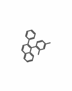 Cc1ccc(-c2c(-c3ccccc3)ccc3ccccc23)c(C)c1